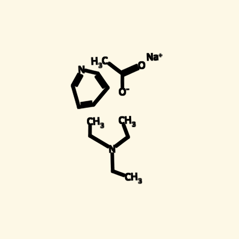 CC(=O)[O-].CCN(CC)CC.[Na+].c1ccncc1